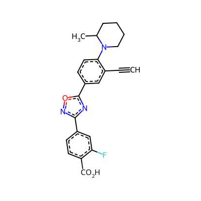 C#Cc1cc(-c2nc(-c3ccc(C(=O)O)c(F)c3)no2)ccc1N1CCCCC1C